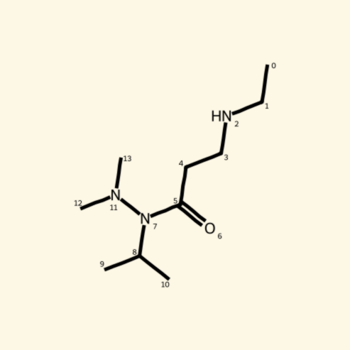 CCNCCC(=O)N(C(C)C)N(C)C